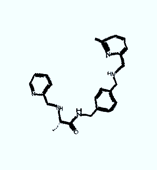 Cc1cccc(CNCc2ccc(CNC(=O)[C@H](C)NCc3ccccn3)cc2)n1